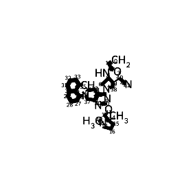 C=CC(=O)NC1CN(c2nc(OCC3(C)CCCN3C)nc3c2CCN(c2cccc4cccc(C)c24)C3)C[C@@H]1CC#N